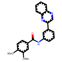 COc1ccc(C(=O)Nc2cccc(-c3cnc4ccccc4n3)c2)cc1OC